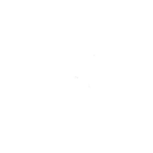 C=Cc1ccc(-c2ccc3c(c2)-c2cc(C(C)(C)C)cc4c2B3c2cccc3c2N4c2cc(C(C)(C)C)cc4c2B3c2ccc(-c3ccc(C=C)cc3)cc2-4)cc1